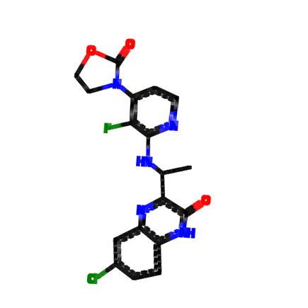 CC(Nc1nccc(N2CCOC2=O)c1F)c1nc2cc(Cl)ccc2[nH]c1=O